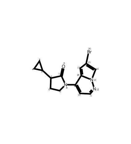 O=C1C(C2CC2)CCN1c1ccnn2cc(Br)cc12